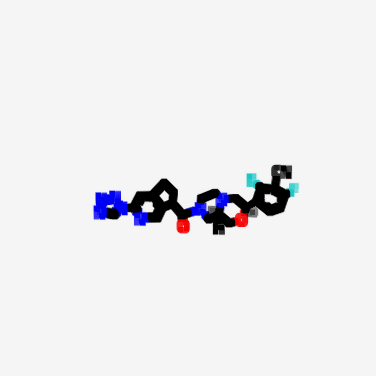 N#Cc1c(F)ccc([C@@H]2CN3CCN(C(=O)C4CCc5cc(-n6cnnn6)ncc54)C[C@H]3CO2)c1F